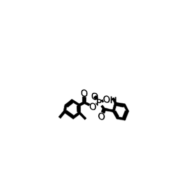 Cc1ccc(C(=O)OP(=O)(O)C(=O)c2ccccc2C)c(C)c1